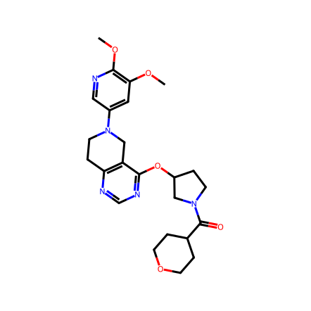 COc1cc(N2CCc3ncnc(OC4CCN(C(=O)C5CCOCC5)C4)c3C2)cnc1OC